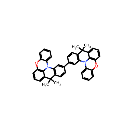 CC1(C)c2ccc(-c3ccc4c(c3)N3c5ccccc5Oc5cccc(c53)C4(C)C)cc2N2c3ccccc3Oc3cccc1c32